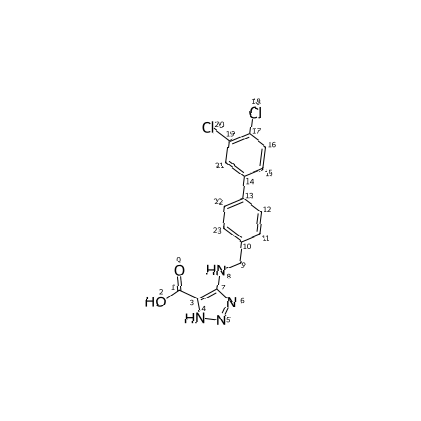 O=C(O)c1[nH]nnc1NCc1ccc(-c2ccc(Cl)c(Cl)c2)cc1